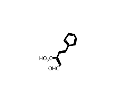 O=CC=C(C=Cc1ccccc1)C(=O)O